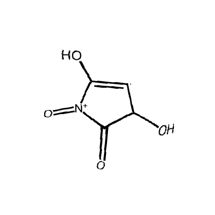 O=C1C(O)[C]=C(O)[N+]1=O